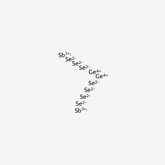 [Ge+4].[Ge+4].[Sb+3].[Sb+3].[Se-2].[Se-2].[Se-2].[Se-2].[Se-2].[Se-2].[Se-2]